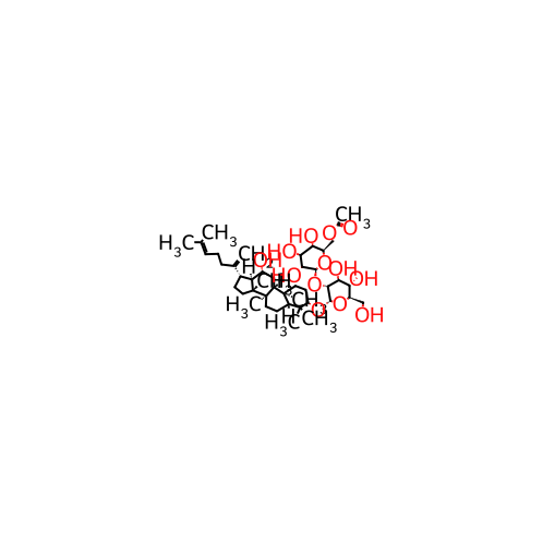 C=C(CCC=C(C)C)[C@H]1CC[C@]2(C)[C@@H]1[C@H](O)C[C@@H]1[C@@]3(C)CC[C@H](O[C@H]4O[C@H](CO)[C@@H](O)[C@H](O)[C@H]4O[C@@H]4O[C@H](COC(C)=O)[C@@H](O)[C@H](O)[C@H]4O)C(C)(C)[C@@H]3CC[C@]12C